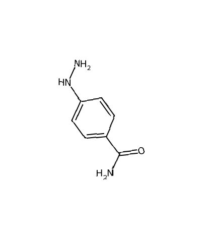 NNc1ccc(C(N)=O)cc1